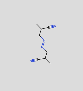 C[C](C#N)CN=NC[C](C)C#N